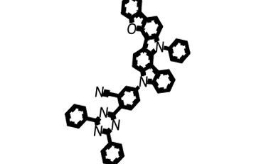 N#Cc1cc(-n2c3ccccc3c3c2ccc2c4c5oc6ccccc6c5ccc4n(-c4ccccc4)c23)ccc1-c1nc(-c2ccccc2)nc(-c2ccccc2)n1